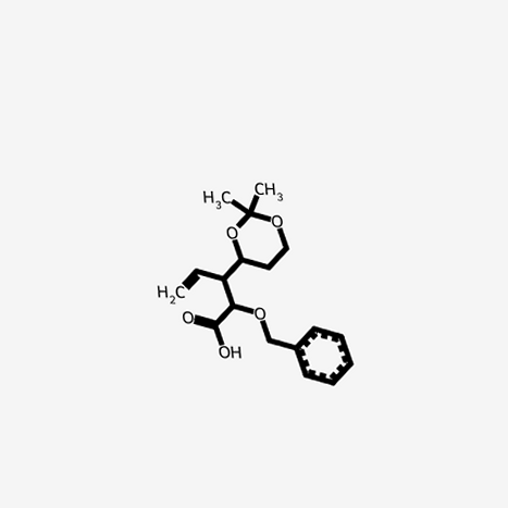 C=CC(C1CCOC(C)(C)O1)C(OCc1ccccc1)C(=O)O